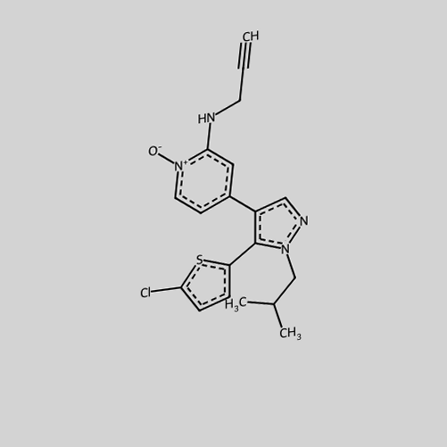 C#CCNc1cc(-c2cnn(CC(C)C)c2-c2ccc(Cl)s2)cc[n+]1[O-]